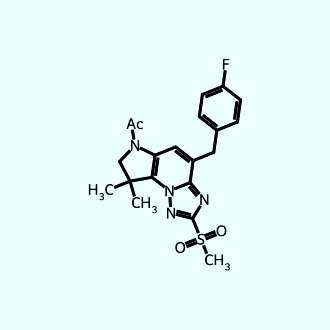 CC(=O)N1CC(C)(C)c2c1cc(Cc1ccc(F)cc1)c1nc(S(C)(=O)=O)nn21